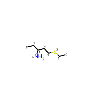 CCSCCC(N)CC